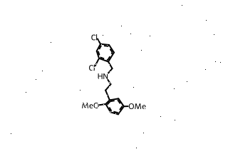 COc1ccc(OC)c(CCNCc2ccc(Cl)cc2Cl)c1